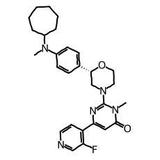 CN(c1ccc([C@H]2CN(c3nc(-c4ccncc4F)cc(=O)n3C)CCO2)cc1)C1CCCCCC1